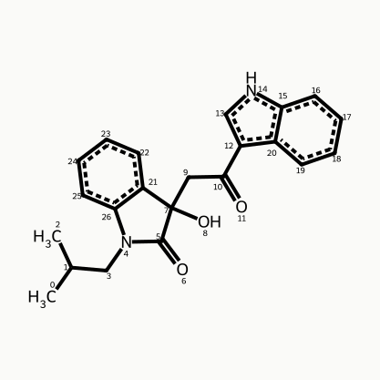 CC(C)CN1C(=O)C(O)(CC(=O)c2c[nH]c3ccccc23)c2ccccc21